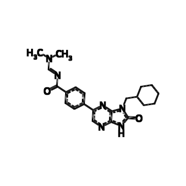 CN(C)C=NC(=O)c1ccc(-c2cnc3[nH]c(=O)n(CC4CCCCC4)c3n2)cc1